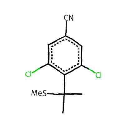 CSC(C)(C)c1c(Cl)cc(C#N)cc1Cl